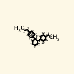 CCCC12CCC(C3(F)C=CC=CC3c3ccc(CC)cc3)(CC1)CC2